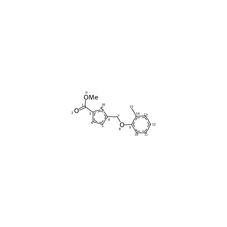 COC(=O)c1ccc(COc2ccccc2C)s1